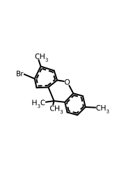 Cc1ccc2c(c1)Oc1cc(C)c(Br)cc1C2(C)C